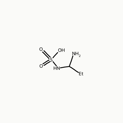 CCC(N)NS(=O)(=O)O